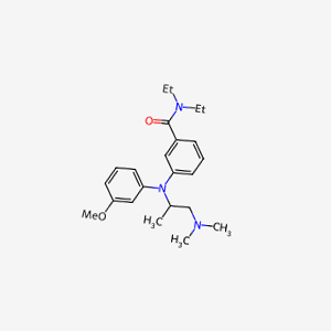 CCN(CC)C(=O)c1cccc(N(c2cccc(OC)c2)C(C)CN(C)C)c1